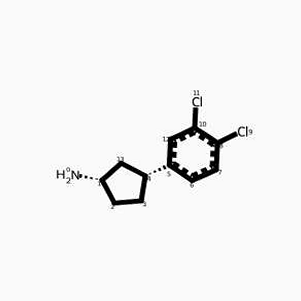 N[C@H]1CC[C@@H](c2ccc(Cl)c(Cl)c2)C1